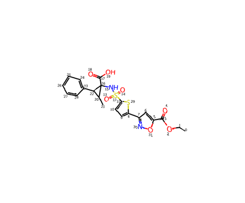 CCOC(=O)c1cc(-c2ccc(S(=O)(=O)NC3(C(=O)O)C(C)C3c3ccccc3)s2)no1